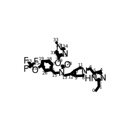 CCc1ncc(CN2CC3C(C2)C3CN(Cc2cccc(OC(F)(F)F)c2)C(=O)Oc2cn(C)cn2)[nH]1